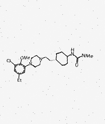 CCc1cc(Cl)c(OC)c(N2CCN(CC[C@H]3CC[C@H](NC(=O)NC)CC3)CC2)c1